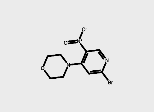 O=[N+]([O-])c1cnc(Br)cc1N1CCOCC1